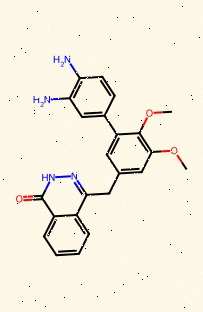 COc1cc(Cc2n[nH]c(=O)c3ccccc23)cc(-c2ccc(N)c(N)c2)c1OC